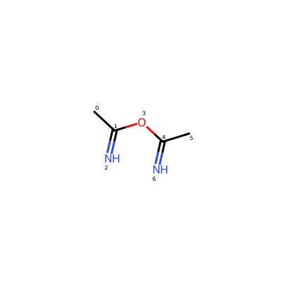 CC(=N)OC(C)=N